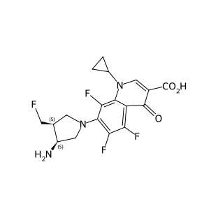 N[C@@H]1CN(c2c(F)c(F)c3c(=O)c(C(=O)O)cn(C4CC4)c3c2F)C[C@@H]1CF